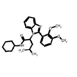 COc1cccc(-c2nc3ccccc3n2C(CC(C)C)C(=O)NC2CCCCC2)c1OC